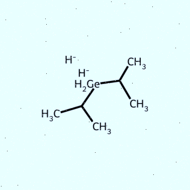 C[CH](C)[GeH2][CH](C)C.[H-].[H-]